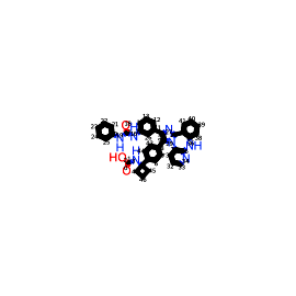 O=C(O)NC1(c2ccc(-c3c(-c4cccc(NC(=O)Nc5ccccc5)c4)nc4n3-c3cccnc3Nc3ccccc3-4)cc2)CCC1